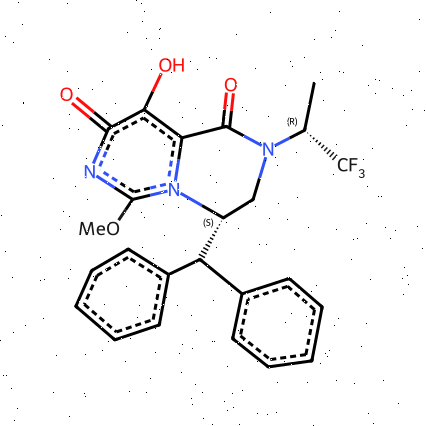 COc1nc(=O)c(O)c2n1[C@@H](C(c1ccccc1)c1ccccc1)CN([C@H](C)C(F)(F)F)C2=O